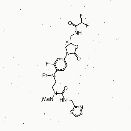 CCN(CCN(NC)C(=O)NCc1nccs1)c1ccc(N2C[C@H](CNC(=O)C(F)F)OC2=O)cc1F